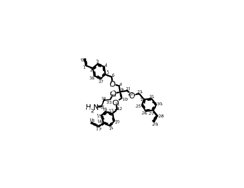 C=Cc1ccc(COCC(COCc2ccc(C=C)cc2)(COCc2ccc(C=C)cc2)OCCCN)cc1